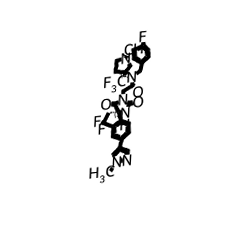 CN1CC[C@](N(Cc2ccc(F)cc2)C(=O)CN2C(=O)N[C@]3(CC(F)(F)c4cc(-c5cnn(C)c5)ccc43)C2=O)(C(F)(F)F)C1